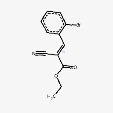 CCOC(=O)/C(C#N)=C/c1ccccc1Br